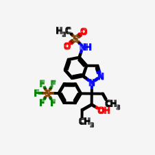 CCC(O)C(CC)(c1ccc(S(F)(F)(F)(F)F)cc1)n1ncc2c(NS(C)(=O)=O)cccc21